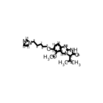 COc1c(OCCCCCn2ccnc2)ccc2c1CN1C(=N2)NC(=O)C1C(C)C